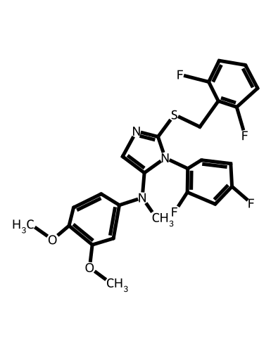 COc1ccc(N(C)c2cnc(SCc3c(F)cccc3F)n2-c2ccc(F)cc2F)cc1OC